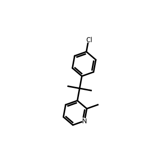 Cc1ncccc1C(C)(C)c1ccc(Cl)cc1